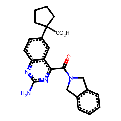 Nc1nc(C(=O)N2Cc3ccccc3C2)c2cc(C3(C(=O)O)CCCC3)ccc2n1